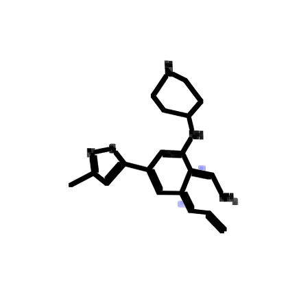 C=C/C=c1/cc(-c2cc(C)ns2)cc(NC2CCNCC2)/c1=C/N